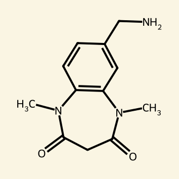 CN1C(=O)CC(=O)N(C)c2cc(CN)ccc21